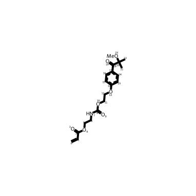 C=CC(=O)OCCNC(=O)OCCOc1ccc(C(=O)C(C)(C)OC)cc1